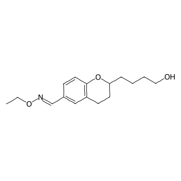 CCO/N=C/c1ccc2c(c1)CCC(CCCCO)O2